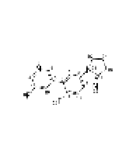 Fc1cncc(-c2cc3c(cc2F)nc2n3CCC2)c1